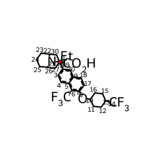 CC[C@H](c1ccc2c(C(F)(F)F)c(OC3CCC(C(F)(F)F)CC3)ccc2c1)N1C2CCCC1CC(C(=O)O)C2